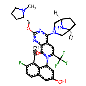 C#Cc1c(F)ccc2cc(O)cc(-n3c(C(F)(F)F)cc4c(N5C[C@H]6CC[C@@H](C5)N6)nc(OC[C@@H]5CCCN5C)nc4c3=O)c12